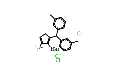 Cc1cccc(C(C2=C(C(C)(C)C)[C]([Ti+3])=CC2)c2cccc(C)c2)c1.[Cl-].[Cl-].[Cl-]